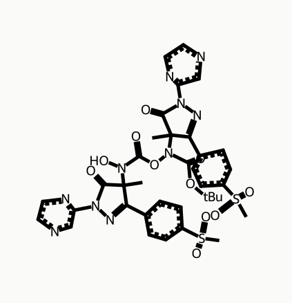 CC(C)(C)OC(=O)N(OC(=O)N(O)C1(C)C(=O)N(c2cnccn2)N=C1c1ccc(S(C)(=O)=O)cc1)C1(C)C(=O)N(c2cnccn2)N=C1c1ccc(S(C)(=O)=O)cc1